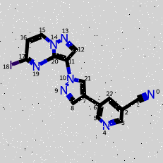 N#Cc1cncc(-c2cnn(-c3cnn4ccc(I)nc34)c2)c1